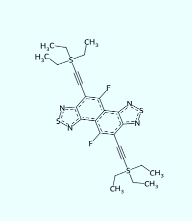 CCS(C#Cc1c(F)c2c3nsnc3c(C#CS(CC)(CC)CC)c(F)c2c2nsnc12)(CC)CC